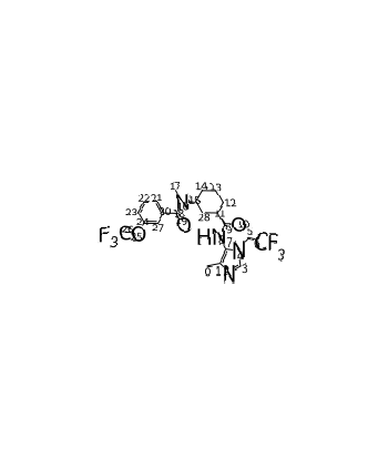 Cc1ncn(CC(F)(F)F)c1NC(=O)[C@@H]1CCC[C@H](N(C)C(=O)c2cccc(OC(F)(F)F)c2)C1